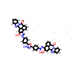 O=c1c2cccc3c(N=Nc4ccc(C5=NNC(c6ccc(N=Nc7c(O)cc8c9c7cccc9c(=O)n7c9ccccc9nc87)cc6)O5)cc4)c(O)cc(c32)c2nc3ccccc3n12